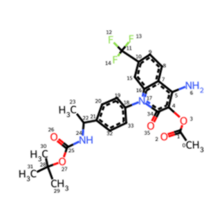 CC(=O)Oc1c(N)c2ccc(C(F)(F)F)cc2n(-c2ccc(C(C)NC(=O)OC(C)(C)C)cc2)c1=O